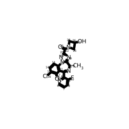 C[C@@H]1N=C(c2ncccc2F)c2c(ccc(Cl)c2Cl)-n2nc(C(=O)N3CC(O)C3)nc21